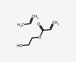 C=CC.C=CC(=O)OCCO